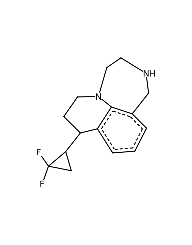 FC1(F)CC1C1CCN2CCNCc3cccc1c32